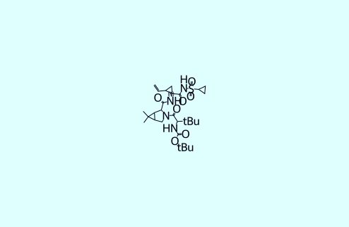 C=CC1C[C@]1(NC(=O)C1C2C(CN1C(=O)C(NC(=O)OC(C)(C)C)C(C)(C)C)C2(C)C)C(=O)NS(=O)(=O)C1CC1